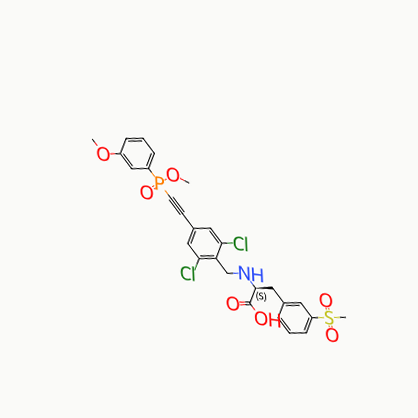 COc1cccc(P(=O)(C#Cc2cc(Cl)c(CN[C@@H](Cc3cccc(S(C)(=O)=O)c3)C(=O)O)c(Cl)c2)OC)c1